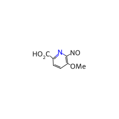 COc1ccc(C(=O)O)nc1N=O